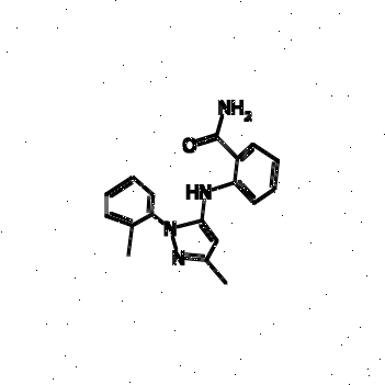 Cc1cc(Nc2ccccc2C(N)=O)n(-c2ccccc2C)n1